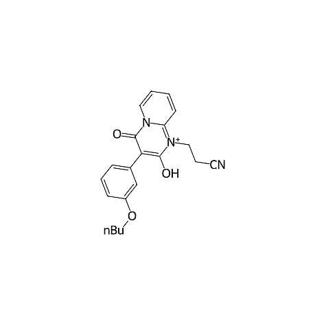 CCCCOc1cccc(-c2c(O)[n+](CCC#N)c3ccccn3c2=O)c1